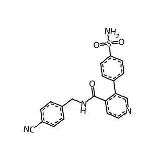 N#Cc1ccc(CNC(=O)c2ccncc2-c2ccc(S(N)(=O)=O)cc2)cc1